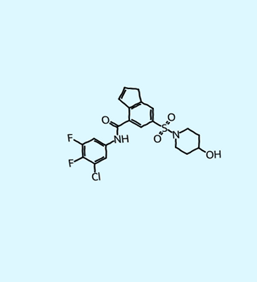 O=C(Nc1cc(F)c(F)c(Cl)c1)c1cc(S(=O)(=O)N2CCC(O)CC2)cc2c1C=CC2